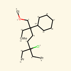 CCOCC(CCC(Cl)(CC(C)C)CC(C)C)(COC)C1CCCCC1